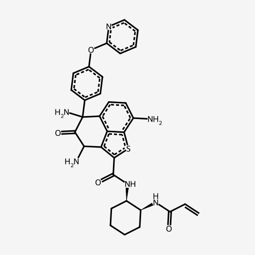 C=CC(=O)N[C@H]1CCCC[C@H]1NC(=O)c1sc2c(N)ccc3c2c1C(N)C(=O)C3(N)c1ccc(Oc2ccccn2)cc1